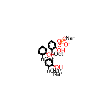 CCCCCCCCc1ccccc1O.CCCCCCCCc1ccccc1O.CCCCCCCCc1ccccc1O.O=P([O-])([O-])[O-].[Na+].[Na+].[Na+]